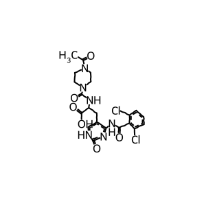 CC(=O)N1CCN(C(=O)NC(Cc2c[nH]c(=O)nc2NC(=O)c2c(Cl)cccc2Cl)C(=O)O)CC1